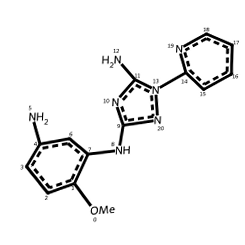 COc1ccc(N)cc1Nc1nc(N)n(-c2ccccn2)n1